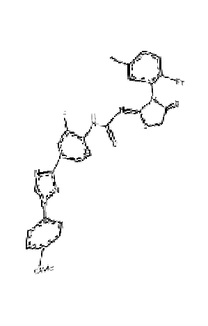 COc1ccc(-n2cnc(-c3ccc(NC(=O)N=C4SCC(=O)N4c4cc(C)ccc4C(C)C)c(F)c3)n2)cc1